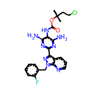 CC(C)(CCCl)OC(=O)Nc1c(N)nc(-c2nn(Cc3ccccc3F)c3ncccc23)nc1N